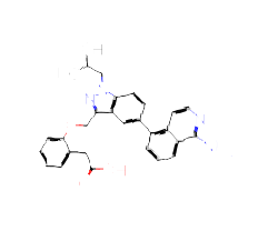 CC(C)Cn1nc(COc2ccccc2CC(=O)O)c2cc(-c3cccc4c(N)nccc34)ccc21